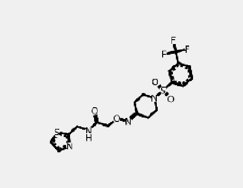 O=C(CON=C1CCN(S(=O)(=O)c2cccc(C(F)(F)F)c2)CC1)NCc1nccs1